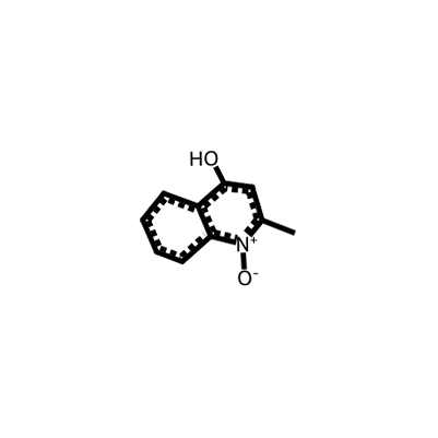 Cc1cc(O)c2ccccc2[n+]1[O-]